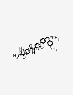 CCN(Cc1ccc(-n2ccc(NC(=O)N3CCN(C(=O)[C@@H](C)N)CC3)nc2=O)cc1)[C@H]1CC[C@H](N)CC1